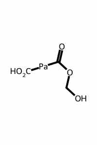 O=[C](O)[Pa][C](=O)OCO